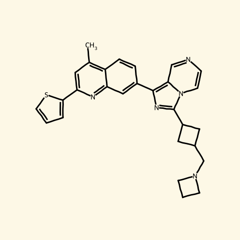 Cc1cc(-c2cccs2)nc2cc(-c3nc(C4CC(CN5CCC5)C4)n4ccncc34)ccc12